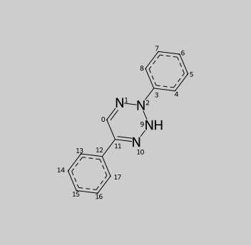 C1=NN(c2ccccc2)NN=C1c1ccccc1